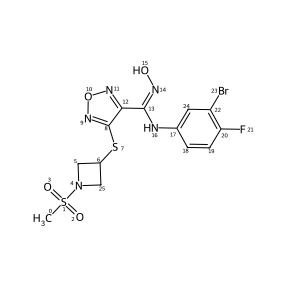 CS(=O)(=O)N1CC(Sc2nonc2C(=NO)Nc2ccc(F)c(Br)c2)C1